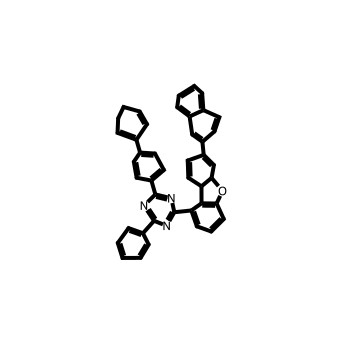 C1=CC(c2ccc(-c3nc(-c4ccccc4)nc(-c4cccc5c4C4C=CC(c6ccc7ccccc7c6)=CC4O5)n3)cc2)=CCC1